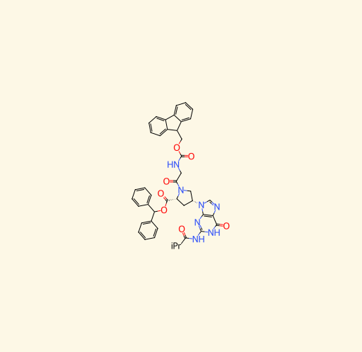 CC(C)C(=O)Nc1nc2c(ncn2[C@@H]2C[C@H](C(=O)OC(c3ccccc3)c3ccccc3)N(C(=O)CNC(=O)OCC3c4ccccc4-c4ccccc43)C2)c(=O)[nH]1